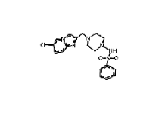 O=S(=O)(NN1CCN(Cc2cn3cc(Cl)ccc3n2)CC1)c1ccccc1